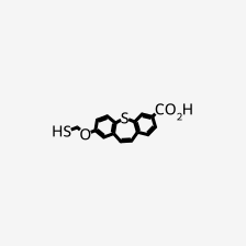 O=C(O)c1ccc2c(c1)Sc1ccc(OCS)cc1C=C2